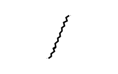 [CH2]CCC/C=C/CCCCCCCCCCC[CH2]